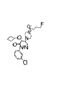 O=c1c(OC2CCC2)c(N2CCN([S+]([O-])CCCF)CC2)cnn1-c1cccc(Cl)c1